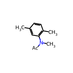 CC(=O)N(C)c1cc(C)ccc1C